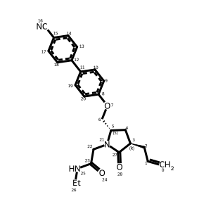 C=CC[C@@H]1C[C@@H](COc2ccc(-c3ccc(C#N)cc3)cc2)N(CC(=O)NCC)C1=O